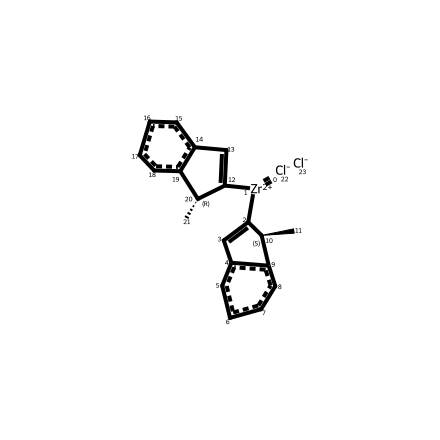 [CH2]=[Zr+2]([C]1=Cc2ccccc2[C@@H]1C)[C]1=Cc2ccccc2[C@H]1C.[Cl-].[Cl-]